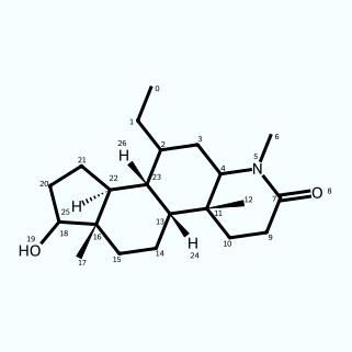 CCC1CC2N(C)C(=O)CC[C@]2(C)[C@@H]2CC[C@]3(C)C(O)CC[C@H]3[C@H]12